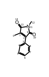 CC1=C(c2ccccc2)C(=O)N(C)C1=O